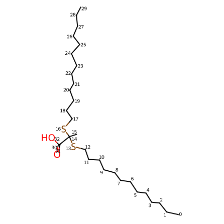 CCCCCCCCCCCCCSC(C)(SCCCCCCCCCCCCC)C(=O)O